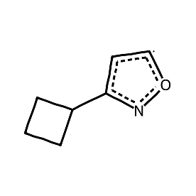 [c]1cc(C2CCC2)no1